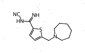 N#CNC(=N)c1ccc(CN2CCCCCC2)s1